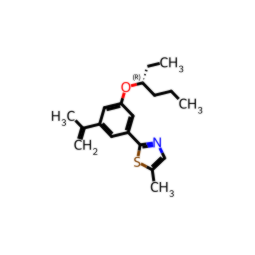 C=C(C)c1cc(O[C@H](CC)CCC)cc(-c2ncc(C)s2)c1